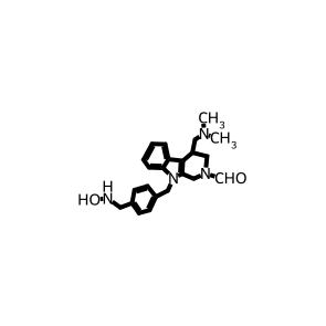 CN(C)CC1CN(C=O)Cc2c1c1ccccc1n2Cc1ccc(CNO)cc1